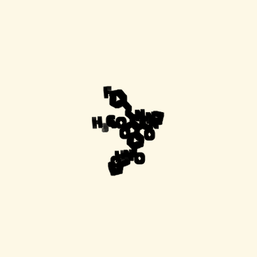 CCOC(=O)c1c(CCc2ccc(F)cc2)nc2c(c1-c1ccc(C(=O)NCc3ccco3)cc1)c(=O)n1n2CCC1